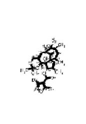 CCc1noc(CC)c1C(=O)O[C@H]1C(C)=CC23C(=O)[C@@H](C=C4COC(C)(C)O[C@H]4[C@]12O)C(C)(C)[C@@H](C)CC3C